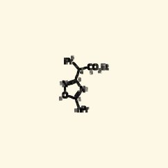 CCCc1nc(C(C(=O)OCC)C(C)C)no1